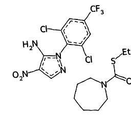 CCSC(=O)N1CCCCCC1.Nc1c([N+](=O)[O-])cnn1-c1c(Cl)cc(C(F)(F)F)cc1Cl